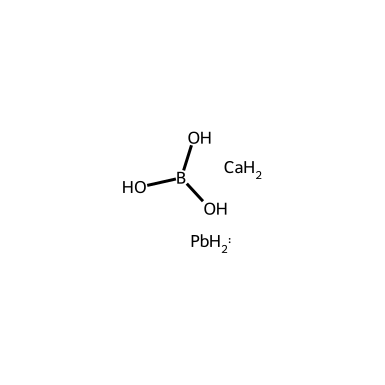 OB(O)O.[CaH2].[PbH2]